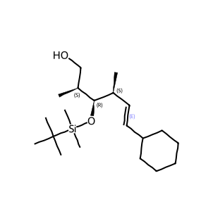 C[C@@H](/C=C/C1CCCCC1)[C@@H](O[Si](C)(C)C(C)(C)C)[C@@H](C)CO